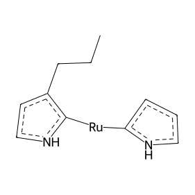 CCCc1cc[nH][c]1[Ru][c]1ccc[nH]1